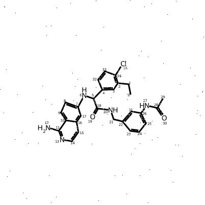 CCc1cc(C(Nc2ccc3c(N)nccc3c2)C(=O)NCc2cccc(NC(C)=O)c2)ccc1Cl